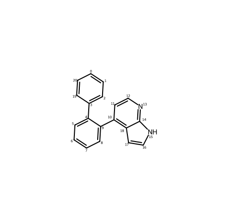 c1ccc(-c2ccccc2-c2ccnc3[nH]ccc23)cc1